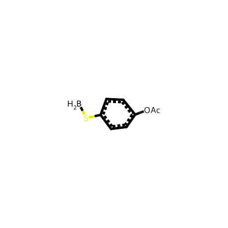 BSc1ccc(OC(C)=O)cc1